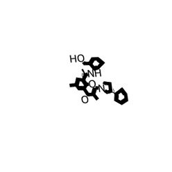 Cc1cc([C@@H](C)Nc2ccccc2CO)c2oc(N3CC[C@H](c4ccccc4)C3)c(C)c(=O)c2c1